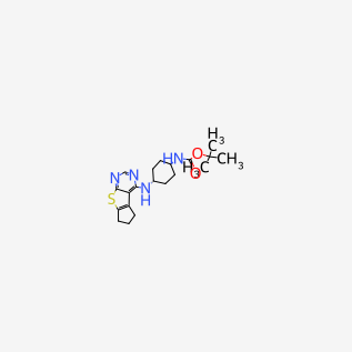 CC(C)(C)OC(=O)N[C@H]1CC[C@H](Nc2ncnc3sc4c(c23)CCC4)CC1